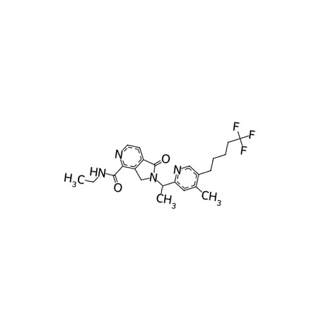 CCNC(=O)c1nccc2c1CN(C(C)c1cc(C)c(CCCCC(F)(F)F)cn1)C2=O